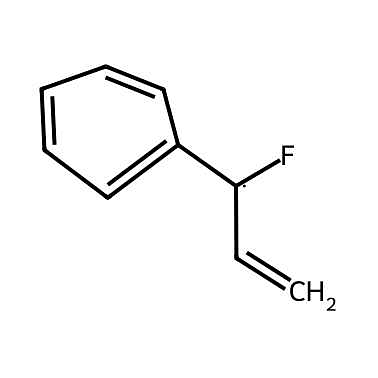 C=C[C](F)c1ccccc1